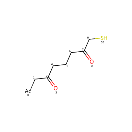 CC(=O)CC(=O)CCCC(=O)CS